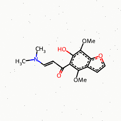 COc1c(C(=O)C=CN(C)C)c(O)c(OC)c2occc12